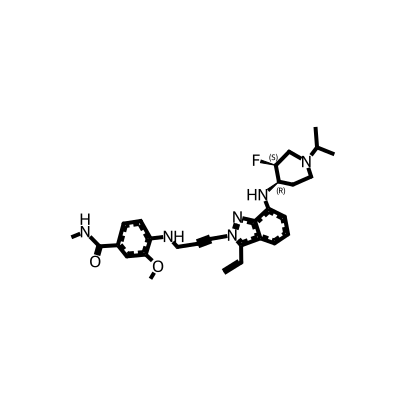 C=Cc1c2cccc(N[C@@H]3CCN(C(C)C)C[C@@H]3F)c2nn1C#CCNc1ccc(C(=O)NC)cc1OC